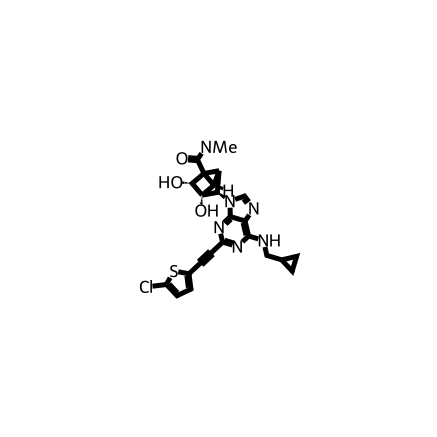 CNC(=O)C12C3[C@@H](n4cnc5c(NCC6CC6)nc(C#Cc6ccc(Cl)s6)nc54)[C@@](O)([C@@H]1O)[C@@H]32